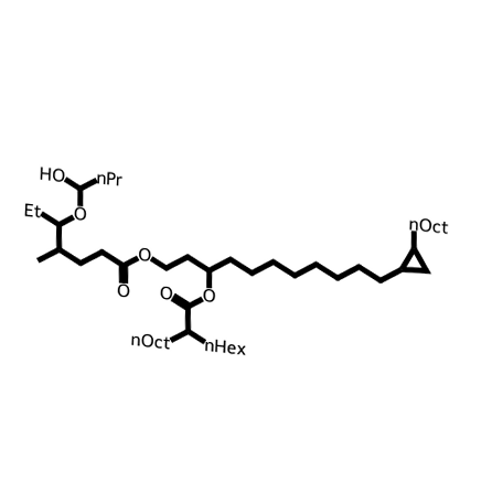 CCCCCCCCC(CCCCCC)C(=O)OC(CCCCCCCCC1CC1CCCCCCCC)CCOC(=O)CCC(C)C(CC)OC(O)CCC